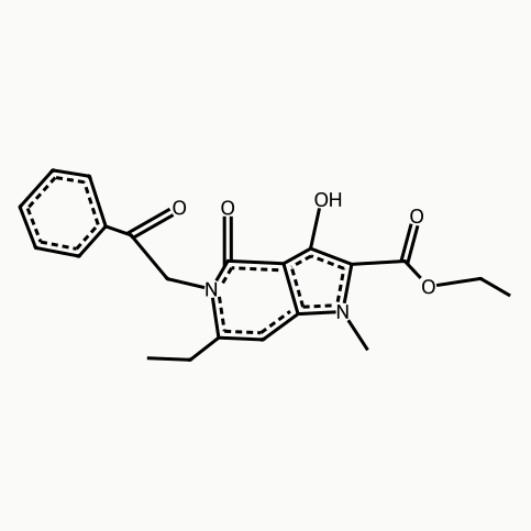 CCOC(=O)c1c(O)c2c(=O)n(CC(=O)c3ccccc3)c(CC)cc2n1C